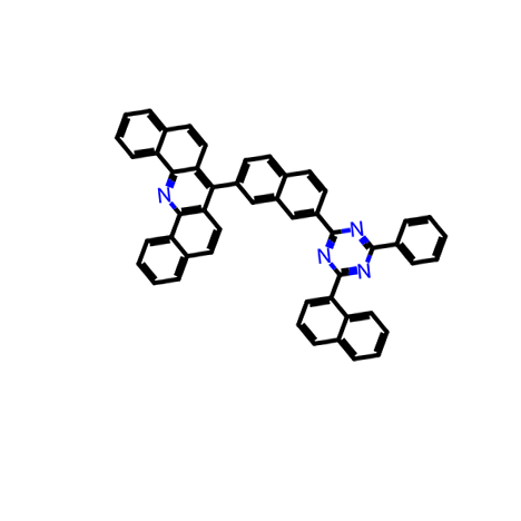 c1ccc(-c2nc(-c3ccc4ccc(-c5c6ccc7ccccc7c6nc6c5ccc5ccccc56)cc4c3)nc(-c3cccc4ccccc34)n2)cc1